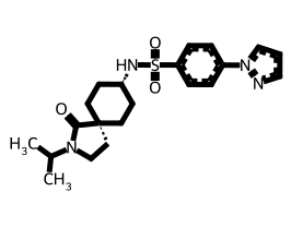 CC(C)N1CC[C@]2(CC[C@@H](NS(=O)(=O)c3ccc(-n4cccn4)cc3)CC2)C1=O